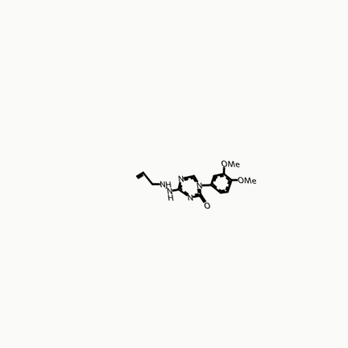 C=CCNNc1ncn(-c2ccc(OC)c(OC)c2)c(=O)n1